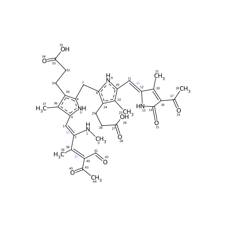 CNC(=C\c1[nH]c(Cc2[nH]c(/C=C3\NC(=O)C(C(C)=O)=C3C)c(C)c2CCC(=O)O)c(CCC(=O)O)c1C)/C(C)=C(\C=O)C(C)=O